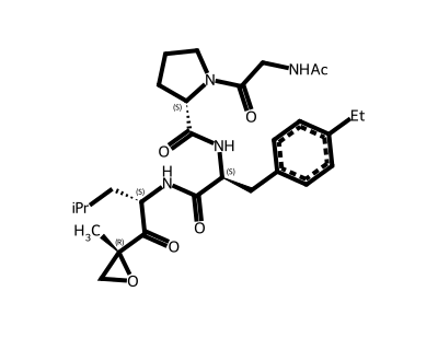 CCc1ccc(C[C@H](NC(=O)[C@@H]2CCCN2C(=O)CNC(C)=O)C(=O)N[C@@H](CC(C)C)C(=O)[C@@]2(C)CO2)cc1